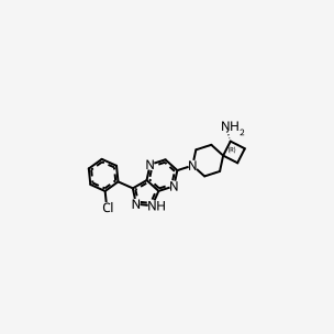 N[C@@H]1CCC12CCN(c1cnc3c(-c4ccccc4Cl)n[nH]c3n1)CC2